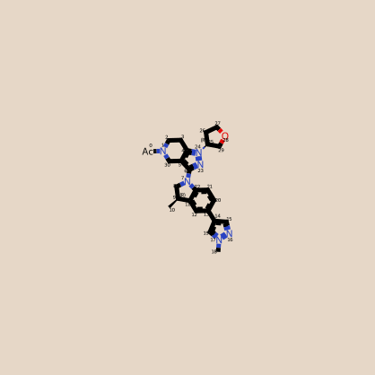 CC(=O)N1CCc2c(c(N3C[C@H](C)c4cc(-c5cnn(C)c5)ccc43)nn2[C@@H]2CCOC2)C1